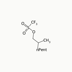 CCCCCC(C)COS(=O)(=O)C(F)(F)F